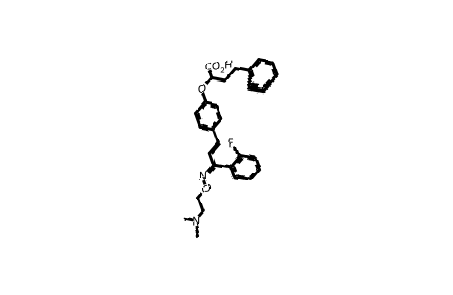 CN(C)CCO/N=C(/C=C/c1ccc(OC(CCc2ccccc2)C(=O)O)cc1)c1ccccc1F